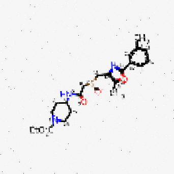 CCOC(=O)N1CCC(NC(=O)C[S+]([O-])Cc2nc(-c3cccc(C)c3)oc2C)CC1